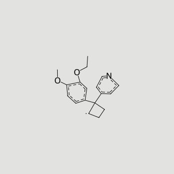 CCOc1cc(C2(c3ccncc3)[CH]CC2)ccc1OC